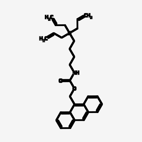 C=CC[Si](CC=C)(CC=C)CCCCNC(=O)OCc1c2ccccc2cc2ccccc12